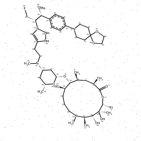 CC[C@H]1OC(=O)[C@H](C)C[C@H](C)[C@@H](O[C@H]2C[C@@H](N(C)CCC3=CN([C@H](CF)[C@H](OC)c4ccc(N5CCC6(CC5)OCCO6)cc4)NN3)C[C@@H](C)O2)[C@H](O)CCCN(C)[C@H](C)[C@@H](O)[C@]1(C)O